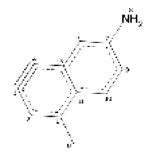 Cc1cc#cc2cc(N)ccc12